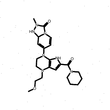 COCCN1CCN(C2=CC3NN(C)C(=O)N3C=C2)c2[nH]c(C(=O)N3CCCCC3)cc21